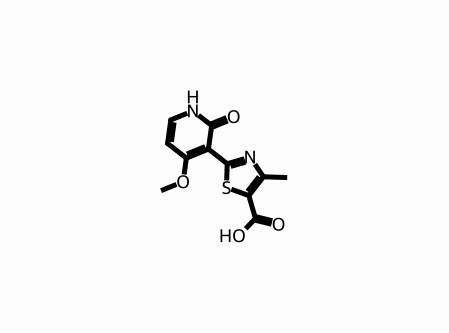 COc1cc[nH]c(=O)c1-c1nc(C)c(C(=O)O)s1